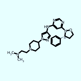 CN(C)CCN1CCC(n2cc(Nc3cc(N4OCC[C@@H]4c4ccccc4)ncn3)cn2)CC1